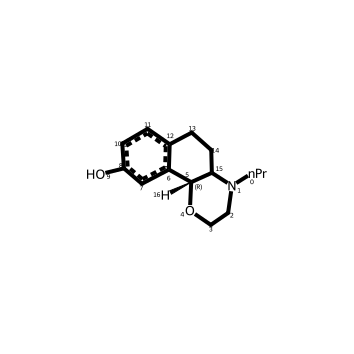 CC[11CH2]N1CCO[C@@H]2c3cc(O)ccc3CCC21